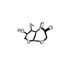 O=C1COC2OCC(O)C(O)C2N1